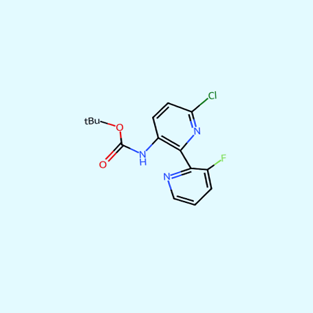 CC(C)(C)OC(=O)Nc1ccc(Cl)nc1-c1ncccc1F